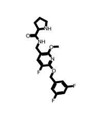 COc1nc(OCc2cc(F)cc(F)c2)c(F)cc1CNC(=O)C1CCCN1